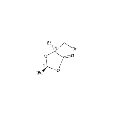 CC[C@@]1(CBr)O[C@H](C(C)(C)C)OC1=O